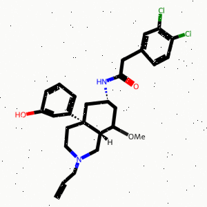 C=CCN1CC[C@@]2(c3cccc(O)c3)C[C@H](NC(=O)Cc3ccc(Cl)c(Cl)c3)CC(OC)[C@@H]2C1